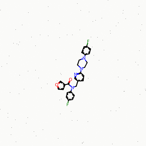 O=C(c1ccoc1)N(Cc1ccc(N2CCN(c3ccc(F)cc3)CC2)nc1)c1ccc(F)cc1